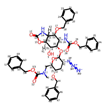 CN(C[C@H]1OC(O[C@H]2[C@H](O)[C@H]3OC(=O)N[C@@H]3[C@@H](OCc3ccccc3)[C@@H]2NC(=O)OCc2ccccc2)[C@H](N=[N+]=[N-])C[C@@H]1OCc1ccccc1)C(=O)OCc1ccccc1